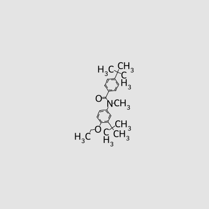 CCOc1ccc(N(C)C(=O)c2ccc(C(C)(C)C)cc2)cc1C(C)(C)C